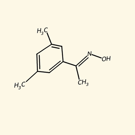 CC(=NO)c1cc(C)cc(C)c1